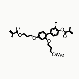 C=C(C)C(=O)OCCCOc1ccc(-c2ccc(OC(=O)C(=C)C)c(F)c2)c(OCCCOC)c1